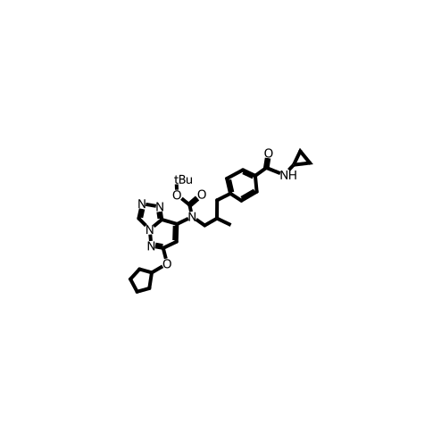 CC(Cc1ccc(C(=O)NC2CC2)cc1)CN(C(=O)OC(C)(C)C)c1cc(OC2CCCC2)nn2cnnc12